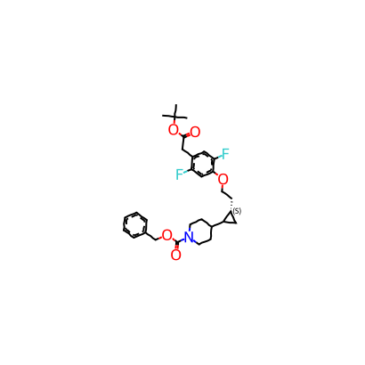 CC(C)(C)OC(=O)Cc1cc(F)c(OCC[C@@H]2CC2C2CCN(C(=O)OCc3ccccc3)CC2)cc1F